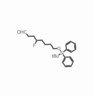 CC(C)(C)[Si](OCCCCC(F)CCC=O)(c1ccccc1)c1ccccc1